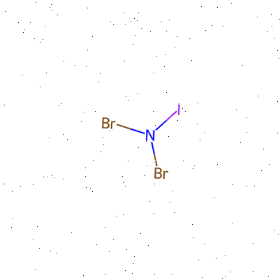 BrN(Br)I